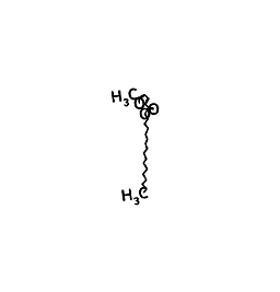 CCCCCCCCCCCCCCCCOC(=O)c1ccc(C)o1